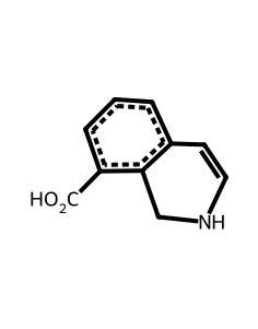 O=C(O)c1cccc2c1CNC=C2